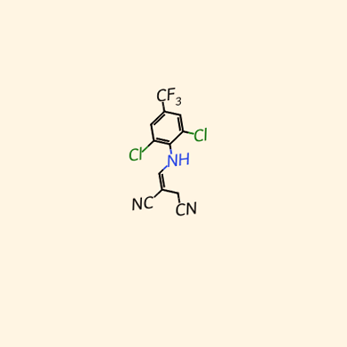 N#CC/C(C#N)=C\Nc1c(Cl)cc(C(F)(F)F)cc1Cl